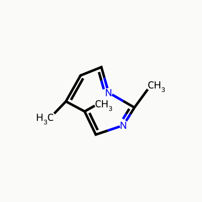 CC1=C/C=N/C(C)=N\C=C\1C